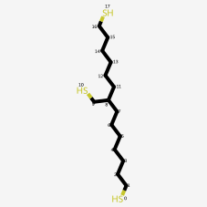 SCCCCCCCC(CS)CCCCCCS